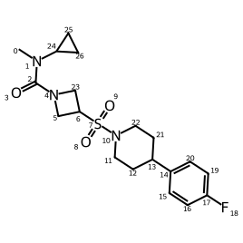 CN(C(=O)N1CC(S(=O)(=O)N2CCC(c3ccc(F)cc3)CC2)C1)C1CC1